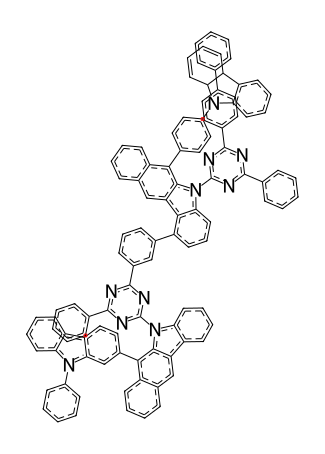 C1=CC2c3ccccc3N(c3ccc(-c4c5ccccc5cc5c6c(-c7cccc(-c8nc(-c9ccccc9)nc(-n9c%10ccccc%10c%10cc%11ccccc%11c(-c%11ccc%12c%13ccccc%13n(-c%13ccccc%13)c%12c%11)c%109)n8)c7)cccc6n(-c6nc(-c7ccccc7)nc(-c7ccc(-c8ccccc8)cc7)n6)c45)cc3)C2C=C1